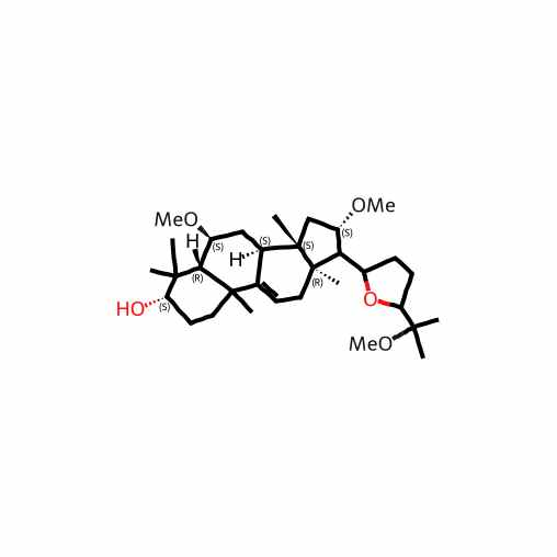 CO[C@H]1C[C@@]2(C)[C@@H]3C[C@H](OC)[C@@H]4C(C)(CC[C@H](O)C4(C)C)C3=CC[C@]2(C)C1C1CCC(C(C)(C)OC)O1